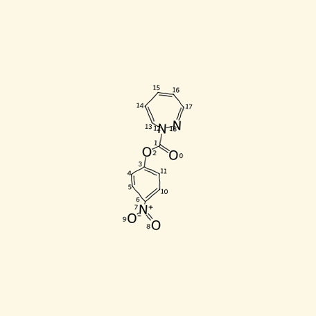 O=C(Oc1ccc([N+](=O)[O-])cc1)N1C=CC=CC=N1